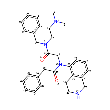 CN(C)CCN(Cc1ccccc1)C(=O)CN(C(=O)Cc1ccccc1)c1cccc2c1CCNC2